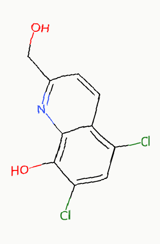 OCc1ccc2c(Cl)cc(Cl)c(O)c2n1